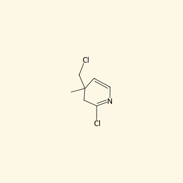 CC1(CCl)C=CN=C(Cl)C1